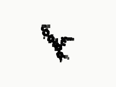 COCC(C)(C)CN(C)c1cc(-c2ccc(F)c(C(F)(F)F)c2)nc2nc(-c3cnc(N4CCN(CC(=O)O)C[C@H]4C)cn3)[nH]c12